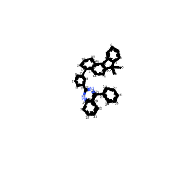 CC1(C)c2ccccc2-c2c1ccc1c(-c3cccc(-c4nc(-c5ccccc5)c5ccccc5n4)c3)cccc21